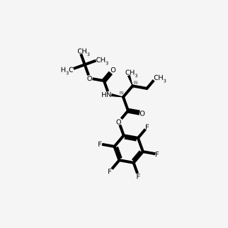 CC[C@H](C)[C@H](NC(=O)OC(C)(C)C)C(=O)Oc1c(F)c(F)c(F)c(F)c1F